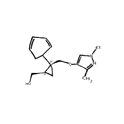 CCn1cc(OC[C@@]2(C3C=CC=CC3)C[C@H]2CO)c(C)n1